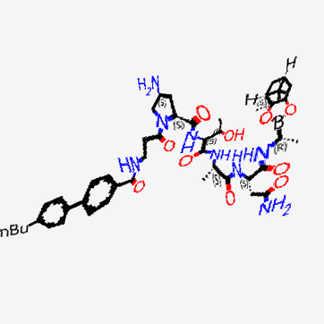 CCCCc1ccc(-c2ccc(C(=O)NCCC(=O)N3C[C@@H](N)C[C@H]3C(=O)N[C@H](C(=O)N[C@@H](C)C(=O)N[C@@H](CC(N)=O)C(=O)N[C@@H](C)B3OC4C[C@@H]5C[C@@H](C5(C)C)[C@]4(C)O3)[C@@H](C)O)cc2)cc1